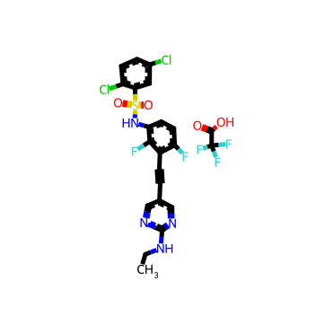 CCNc1ncc(C#Cc2c(F)ccc(NS(=O)(=O)c3cc(Cl)ccc3Cl)c2F)cn1.O=C(O)C(F)(F)F